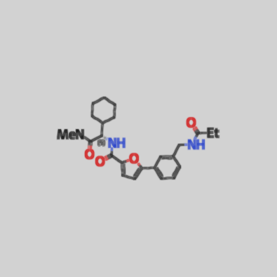 CCC(=O)NCc1cccc(-c2ccc(C(=O)N[C@H](C(=O)NC)C3CCCCC3)o2)c1